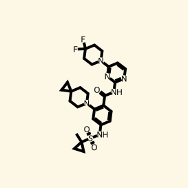 CC1(S(=O)(=O)Nc2ccc(C(=O)Nc3nccc(N4CCC(F)(F)CC4)n3)c(N3CCC4(CC3)CC4)c2)CC1